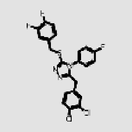 Fc1ccc(-n2c(Cc3ccc(Cl)c(Cl)c3)nnc2SCc2ccc(F)c(F)c2)cc1